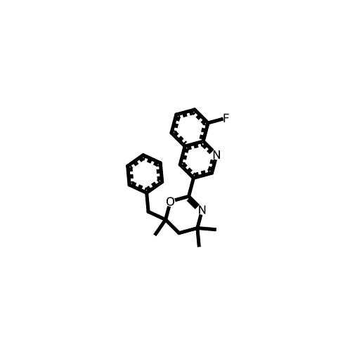 CC1(C)CC(C)(Cc2ccccc2)OC(c2cnc3c(F)cccc3c2)=N1